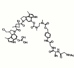 CCC1(C(=O)N2CCc3c2cc(OC(=O)N(C)CCN(C)C(=O)OCc2ccc(NC(=O)CNC(=O)C(NC(=O)CNC(C)=O)C(C)C)cc2)c2[nH]cc(C)c32)CC(C)(C(=O)N2CC(CCl)c3c2cc(OP(O)O)c2[nH]cc(C)c32)C1